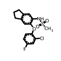 CS(=O)(=O)Nc1cc2c(cc1Oc1ccc(F)cc1Cl)CCC2